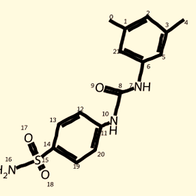 Cc1cc(C)cc(NC(=O)Nc2ccc(S(N)(=O)=O)cc2)c1